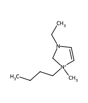 CCCC[N+]1(C)C=CN(CC)C1